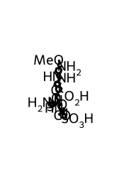 COCCC1(N)CCC(NC(=N)c2ccc3c(c2)CCC(C(C)(ON=C(C(=O)NC2C(=O)N(OS(=O)(=O)O)C2(C)C)c2csc(N)n2)C(=O)O)O3)CC1